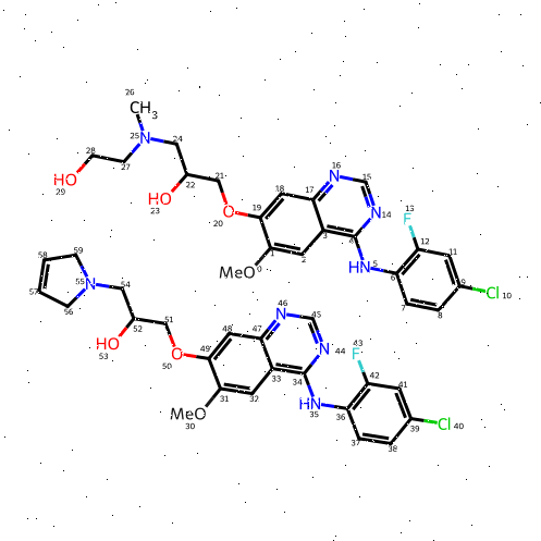 COc1cc2c(Nc3ccc(Cl)cc3F)ncnc2cc1OCC(O)CN(C)CCO.COc1cc2c(Nc3ccc(Cl)cc3F)ncnc2cc1OCC(O)CN1CC=CC1